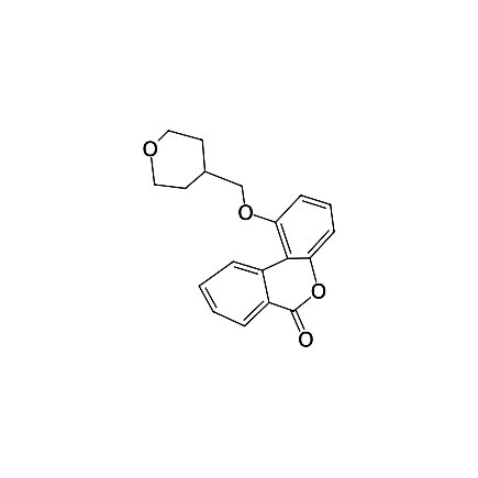 O=c1oc2cccc(OCC3CCOCC3)c2c2ccccc12